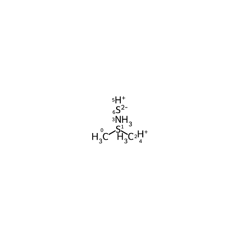 CSC.N.[H+].[H+].[S-2]